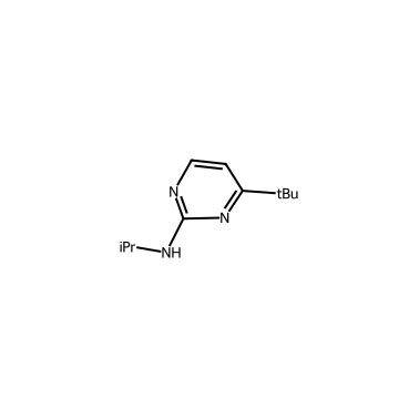 CC(C)Nc1nccc(C(C)(C)C)n1